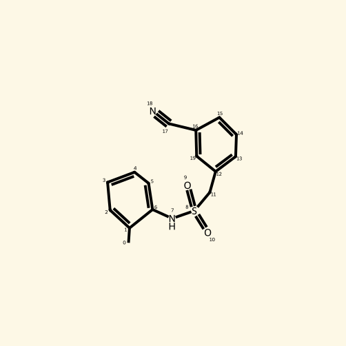 Cc1ccccc1NS(=O)(=O)Cc1cccc(C#N)c1